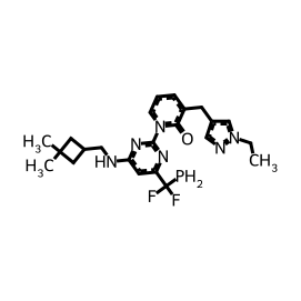 CCn1cc(Cc2cccn(-c3nc(NCC4CC(C)(C)C4)cc(C(F)(F)P)n3)c2=O)cn1